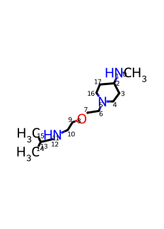 CNC1CCN(CCOCCNCC(C)C)CC1